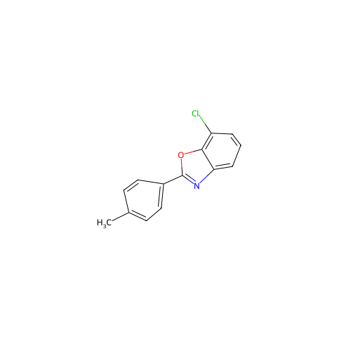 Cc1ccc(-c2nc3cccc(Cl)c3o2)cc1